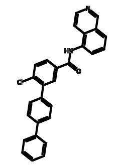 O=C(Nc1cccc2cnccc12)c1ccc(Cl)c(-c2ccc(-c3ccccc3)cc2)c1